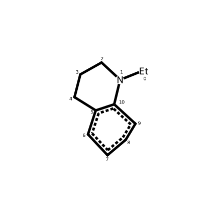 [CH2]CN1CCCc2ccccc21